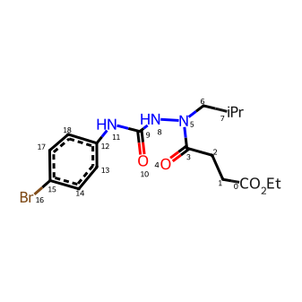 CCOC(=O)CCC(=O)N(CC(C)C)NC(=O)Nc1ccc(Br)cc1